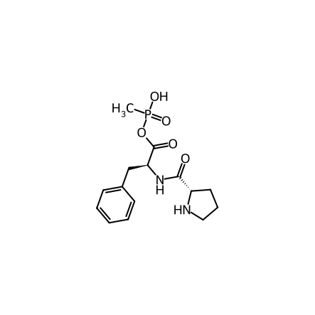 CP(=O)(O)OC(=O)[C@H](Cc1ccccc1)NC(=O)[C@@H]1CCCN1